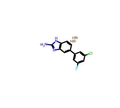 Br.Br.Nc1nc2cc(-c3cc(F)cc(Cl)c3)ccc2[nH]1